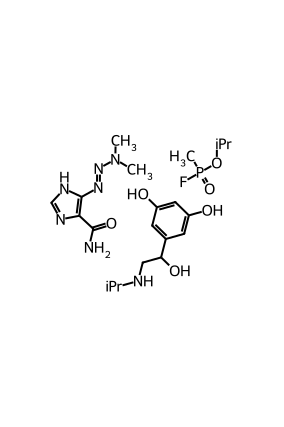 CC(C)NCC(O)c1cc(O)cc(O)c1.CC(C)OP(C)(=O)F.CN(C)/N=N/c1[nH]cnc1C(N)=O